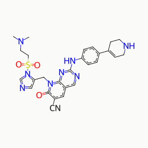 CN(C)CCS(=O)(=O)n1cncc1Cn1c(=O)c(C#N)cc2cnc(Nc3ccc(C4=CCNCC4)cc3)nc21